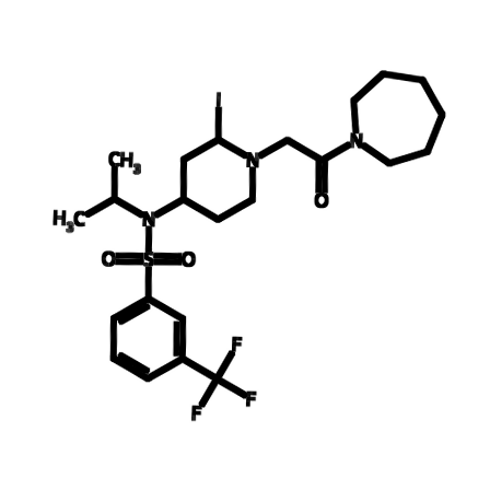 CC(C)N(C1CCN(CC(=O)N2CCCCCC2)C(I)C1)S(=O)(=O)c1cccc(C(F)(F)F)c1